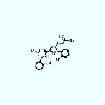 Cc1ccccc1[C@H](CC(=O)O)NC(=O)c1cc(OC[C@@H](O)C(C)(C)C)n(-c2ccccc2Cl)n1